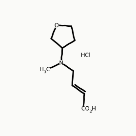 CN(CC=CC(=O)O)C1CCOC1.Cl